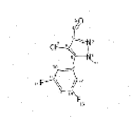 Cn1nc(C=O)c(Cl)c1-c1cc(F)cc(F)c1